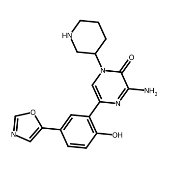 Nc1nc(-c2cc(-c3cnco3)ccc2O)cn(C2CCCNC2)c1=O